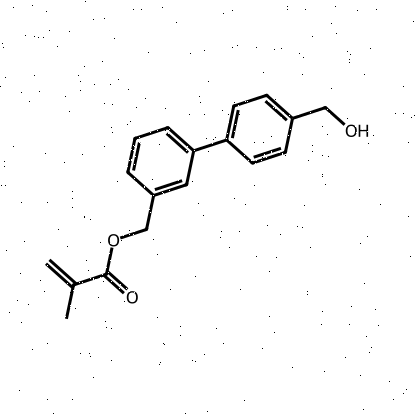 C=C(C)C(=O)OCc1cccc(-c2ccc(CO)cc2)c1